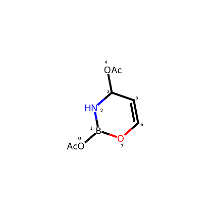 CC(=O)OB1NC(OC(C)=O)C=CO1